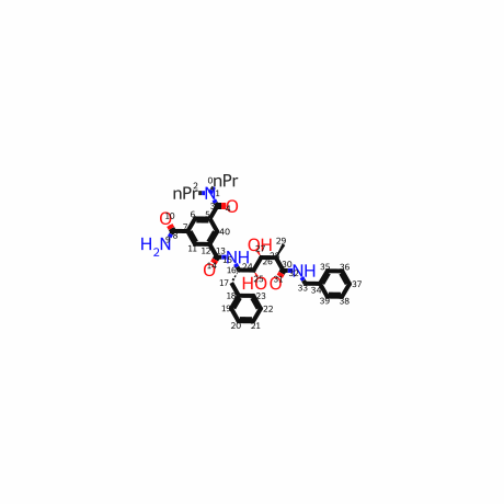 CCCN(CCC)C(=O)c1cc(C(N)=O)cc(C(=O)N[C@@H](Cc2ccccc2)[C@@H](O)[C@H](O)[C@@H](C)C(=O)NCc2ccccc2)c1